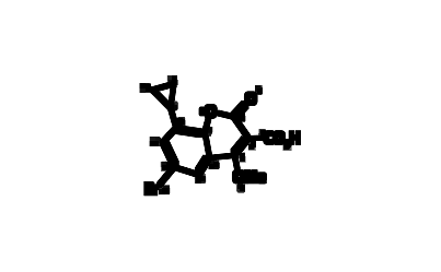 COc1c(C(=O)O)c(=O)oc2c(C3CC3)cc(Br)cc12